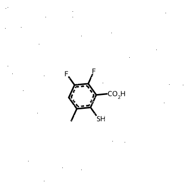 Cc1cc(F)c(F)c(C(=O)O)c1S